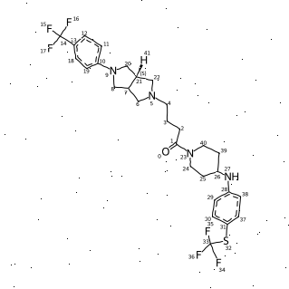 O=C(CCCN1CC2CN(c3ccc(C(F)(F)F)cc3)C[C@@H]2C1)N1CCC(Nc2ccc(SC(F)(F)F)cc2)CC1